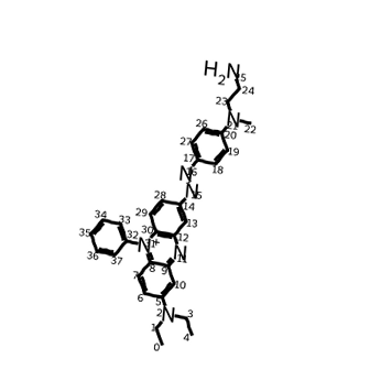 CCN(CC)c1ccc2c(c1)nc1cc(/N=N/c3ccc(N(C)CCN)cc3)ccc1[n+]2-c1ccccc1